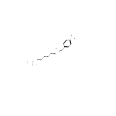 NCCCCCC(=O)NCc1ccc(N)cc1